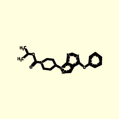 CC(C)OC(=O)N1CCC(n2ncc3c(Oc4ccccc4)ncnc32)CC1